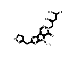 Cn1c2nc(CC3=NNCC3)sc2c2cnn(CC(=N)/C=C(\N)Cl)c(=O)c21